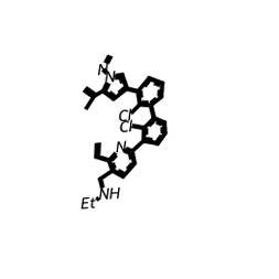 C=Cc1nc(-c2cccc(-c3cccc(-c4cc(C(=C)C)n(N=C)c4)c3Cl)c2Cl)ccc1CNCC